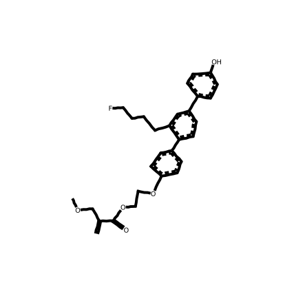 C=C(COC)C(=O)OCCOc1ccc(-c2ccc(-c3ccc(O)cc3)cc2CCCCF)cc1